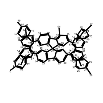 Cc1ccc(N(c2ccc(C)cc2)c2ccc3c(c2)C2(c4cc(N(c5ccc(C)cc5)c5ccc(C)cc5)ccc4-3)c3cc(N(c4ccc(C)cc4)c4ccc(C)cc4)ccc3-c3c(C)cc(N(c4ccc(C)cc4)c4ccc(C)cc4)cc32)cc1